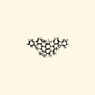 [2H]c1c([2H])c2c([2H])c([2H])c3c([2H])c([2H])c(-c4cccc5c4oc4ccccc45)c4c([2H])c([2H])c(c1-c1cccc5c1oc1ccccc15)c2c34